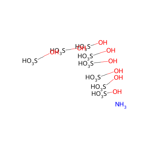 N.O=S(=O)(O)O.O=S(=O)(O)O.O=S(=O)(O)O.O=S(=O)(O)O.O=S(=O)(O)O.O=S(=O)(O)O.O=S(=O)(O)O.O=S(=O)(O)O